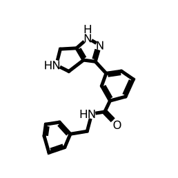 O=C(NCc1ccccc1)c1cccc(-c2n[nH]c3c2CNC3)c1